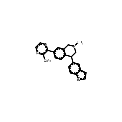 COc1nccnc1-c1ccc2c(c1)CN(C)CC2c1ccc2[nH]ccc2c1